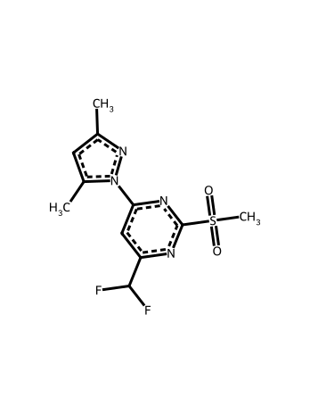 Cc1cc(C)n(-c2cc(C(F)F)nc(S(C)(=O)=O)n2)n1